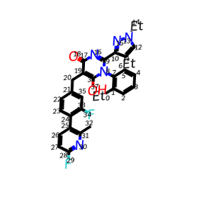 CCc1cccc(CC)c1-n1c(-c2ccn(CC)n2)nc(=O)c(Cc2ccc(-c3ccc(F)nc3C)c(F)c2)c1O